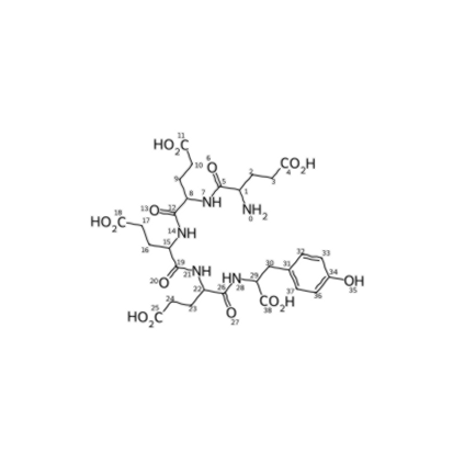 NC(CCC(=O)O)C(=O)NC(CCC(=O)O)C(=O)NC(CCC(=O)O)C(=O)NC(CCC(=O)O)C(=O)NC(Cc1ccc(O)cc1)C(=O)O